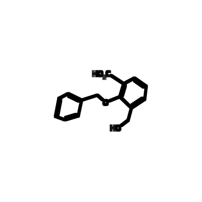 O=C(O)c1cccc(CO)c1OCc1ccccc1